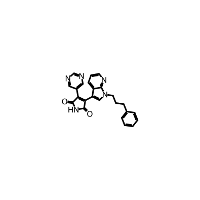 O=C1NC(=O)C(c2cn(CCCc3ccccc3)c3ncccc23)=C1c1cncnc1